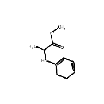 COC(=O)[C@H](C)NC1=CC=CCC1